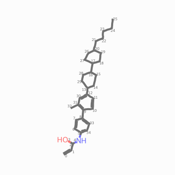 C=CC(O)Nc1ccc(-c2ccc(C3CCC(C4CCC(CCCCC)CC4)CC3)cc2C)cc1